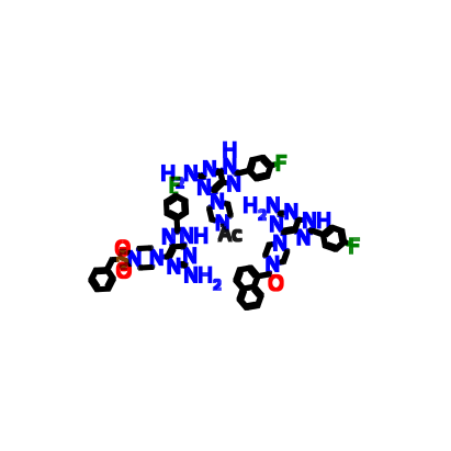 CC(=O)N1CCN(c2nc(N)nc3[nH]c(-c4ccc(F)cc4)nc23)CC1.Nc1nc(N2CCN(C(=O)c3cccc4ccccc34)CC2)c2nc(-c3ccc(F)cc3)[nH]c2n1.Nc1nc(N2CCN(S(=O)(=O)Cc3ccccc3)CC2)c2nc(-c3ccc(F)cc3)[nH]c2n1